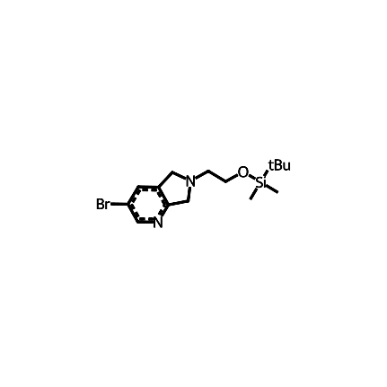 CC(C)(C)[Si](C)(C)OCCN1Cc2cc(Br)cnc2C1